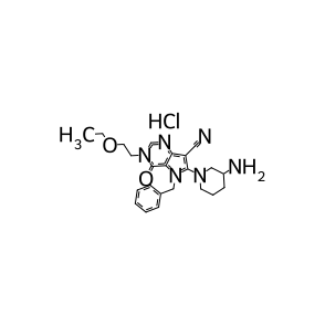 CCOCCn1cnc2c(C#N)c(N3CCCC(N)C3)n(Cc3ccccc3)c2c1=O.Cl